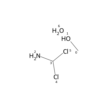 CO.NC(Cl)Cl.O